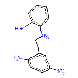 Nc1ccc(N)c(CNc2ccccc2N)c1